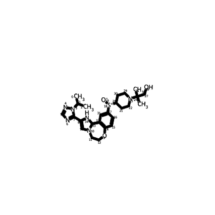 CC(C)n1ncnc1C1=CN2CCOc3ccc([S+]([O-])C4CCN(C(C)(C)CO)CC4)cc3C2N1